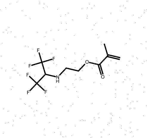 C=C(C)C(=O)OCCNC(C(F)(F)F)C(F)(F)F